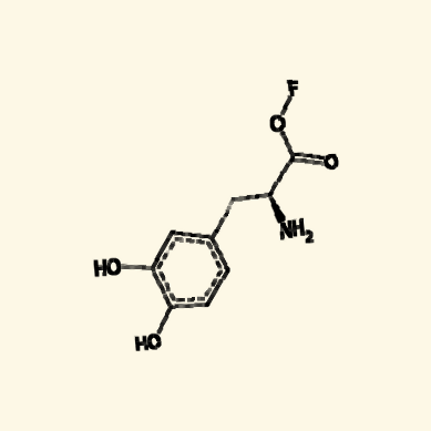 N[C@@H](Cc1ccc(O)c(O)c1)C(=O)OF